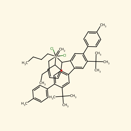 [CH2]=[Zr]([Cl])([Cl])([CH2]CCC)([CH2]CCC)([CH]1C=CC=C1)[CH]1c2cc(-c3ccc(C)cc3)c(C(C)(C)C)cc2-c2cc(C(C)(C)C)c(-c3ccc(C)cc3)cc21